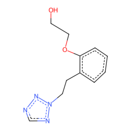 OCCOc1ccccc1CCn1ncnn1